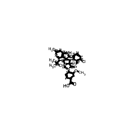 COc1cc(C(=O)O)ccc1N1CN2[C@@H](CC(C)(C)C)[C@@]3(C(=O)Nc4cc(C)ncc43)[C@@H](c3cccc(Cl)c3F)[C@@H]2C1=O